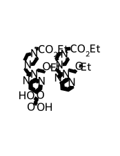 CCOCCn1c(CN2CCN(CC(=O)OCC)CC2)nc2cccnc21.CCOCCn1c(CN2CCN(CC(=O)OCC)CC2)nc2cccnc21.O=C(O)C(=O)O